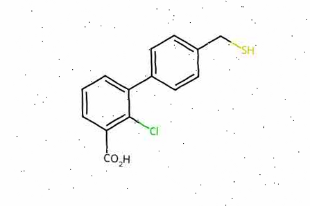 O=C(O)c1cccc(-c2ccc(CS)cc2)c1Cl